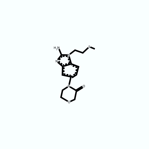 CSCCn1c(N)nc2cc(N3CCOCC3=O)ccc21